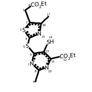 CCOC(=O)Cc1sc(Sc2nc(C)nc(C(=O)OCC)c2S)nc1C